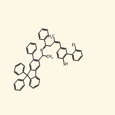 CCc1ccccc1-c1cc(/C=C(/C)C/C(=N\C(C)c2cc3c(cc2-c2ccccc2)C(c2ccccc2)(c2ccccc2)c2ccccc2-3)c2ccccc2)ccc1S